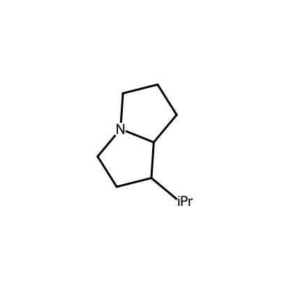 CC(C)C1CCN2CCCC12